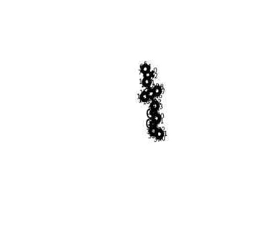 CC1(C)c2ccccc2-c2ccc(-c3c4ccccc4c(-c4ccc5c(c4)oc4c5ccc5c4oc4ccc6ccccc6c45)c4ccccc34)cc21